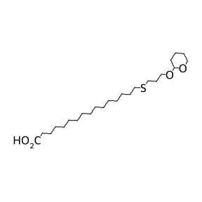 O=C(O)CCCCCCCCCCCCCCCSCCCOC1CCCCO1